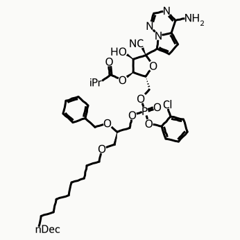 CCCCCCCCCCCCCCCCCCOC[C@H](COP(=O)(OC[C@H]1O[C@@](C#N)(c2ccc3c(N)ncnn23)[C@H](O)[C@@H]1OC(=O)C(C)C)Oc1ccccc1Cl)OCc1ccccc1